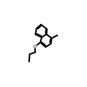 CCCOc1ccc(C)c2ccccc12